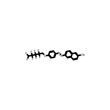 N#Cc1ccc2cc(/N=N/c3ccc(OCC(F)(F)C(F)(F)C(F)(F)C(F)F)cc3)ccc2c1